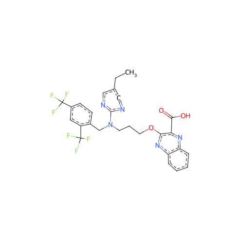 CCc1cnc(N(CCCOc2nc3ccccc3nc2C(=O)O)Cc2ccc(C(F)(F)F)cc2C(F)(F)F)nc1